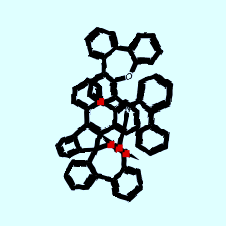 c1ccc(-c2ccccc2N(c2ccc3c(c2)C2(c4ccccc4-c4ccccc4-3)c3ccccc3-c3c2c2ccccc2c2ccccc32)c2cccc3c2Oc2ccccc2-c2ccccc2-3)cc1